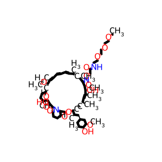 CCOCCOCCOCCNC(=O)CO/N=C1\[C@H](C)C[C@H](C)/C=C/C=C/C=C(\C)[C@@H](OC)C[C@@H]2CC[C@@H](C)[C@@](O)(O2)C(=O)C(=O)N2CCCC[C@H]2C(=O)O[C@H]([C@H](C)C[C@@H]2CC[C@@H](O)[C@H](OC)C2)CC[C@H](C)/C=C(\C)[C@@H](O)[C@H]1OC